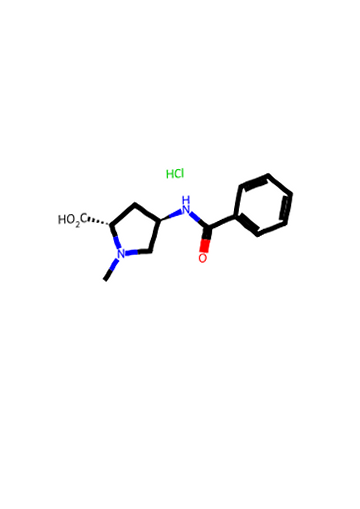 CN1C[C@H](NC(=O)c2ccccc2)C[C@H]1C(=O)O.Cl